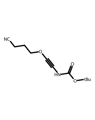 CC(C)(C)OC(=O)NC#COCCCC#N